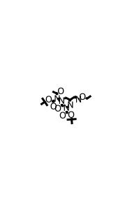 CCON=CC1=NN(C(=O)OC(C)(C)C)C(=O)N(N(C(C)=O)C(=O)OC(C)(C)C)C1